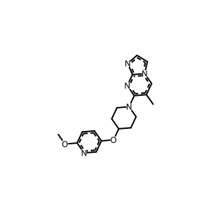 COc1ccc(OC2CCN(c3nc4nccn4cc3C)CC2)cn1